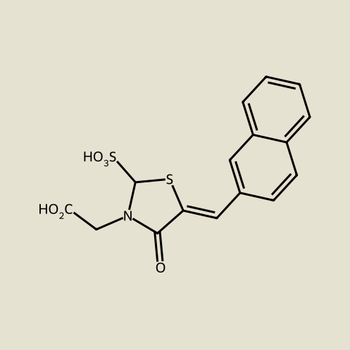 O=C(O)CN1C(=O)C(=Cc2ccc3ccccc3c2)SC1S(=O)(=O)O